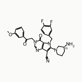 COc1cccc(C(=O)Cn2cnc3c(C#N)c(N4CCC[C@H](N)C4)n(Cc4ccc(F)c(F)c4)c3c2=O)c1